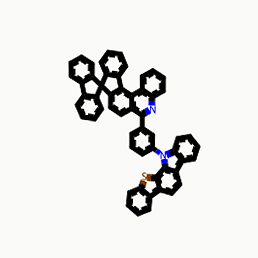 c1cc(-c2nc3ccccc3c3c4c(ccc23)C2(c3ccccc3-c3ccccc32)c2ccccc2-4)cc(-n2c3ccccc3c3ccc4c5ccccc5sc4c32)c1